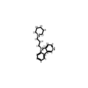 c1ccc2c(c1)c1cnccc1n2CCCN1CCCCC1